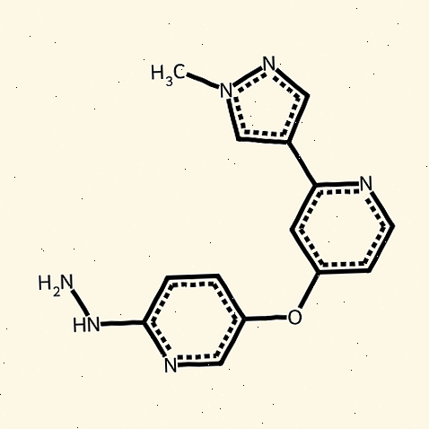 Cn1cc(-c2cc(Oc3ccc(NN)nc3)ccn2)cn1